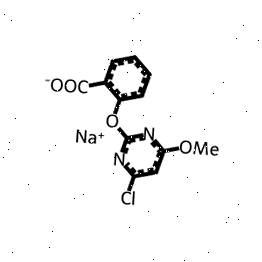 COc1cc(Cl)nc(Oc2ccccc2C(=O)[O-])n1.[Na+]